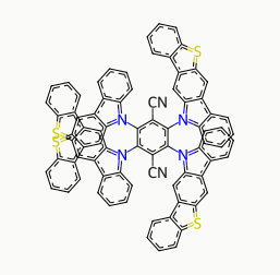 N#Cc1c(-n2c3ccccc3c3cc4sc5ccccc5c4cc32)c(-n2c3ccccc3c3cc4sc5ccccc5c4cc32)c(C#N)c(-n2c3ccccc3c3cc4sc5ccccc5c4cc32)c1-n1c2ccccc2c2cc3sc4ccccc4c3cc21